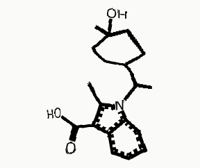 Cc1c(C(=O)O)c2ccccc2n1C(C)C1CCC(C)(O)CC1